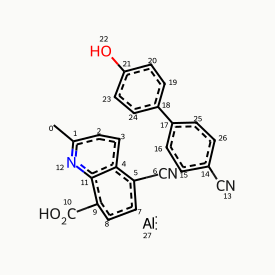 Cc1ccc2c(C#N)ccc(C(=O)O)c2n1.N#Cc1ccc(-c2ccc(O)cc2)cc1.[Al]